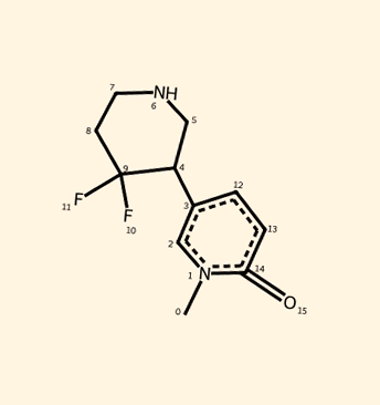 Cn1cc(C2CNCCC2(F)F)ccc1=O